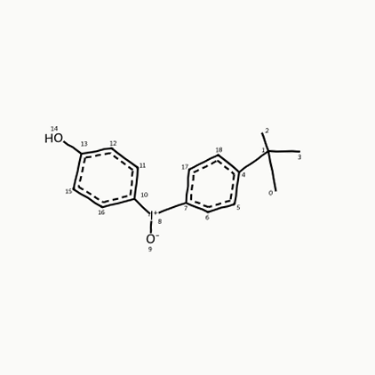 CC(C)(C)c1ccc([I+]([O-])c2ccc(O)cc2)cc1